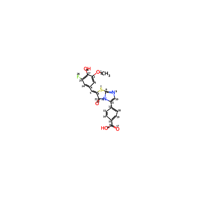 COc1cc(C=c2sc3ncc(-c4ccc(C(=O)O)cc4)n3c2=O)cc(F)c1O